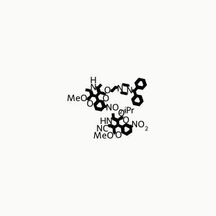 COC(=O)C1=C(C#N)NC(C)=C(C(=O)OC(C)C)C1c1cccc([N+](=O)[O-])c1.COC(=O)C1=C(C)NC(C)=C(C(=O)OCCN2CCN(C(c3ccccc3)c3ccccc3)CC2)C1c1cccc([N+](=O)[O-])c1